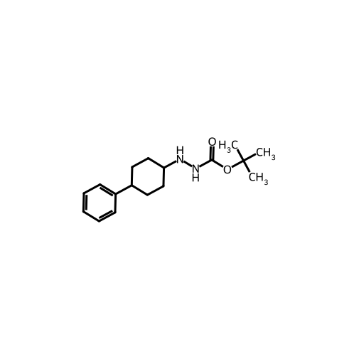 CC(C)(C)OC(=O)NNC1CCC(c2ccccc2)CC1